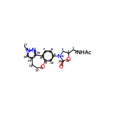 CC(=O)NCC1CN(c2ccc3c(c2)OCCc2cn(C)nc2-3)C(=O)O1